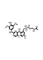 COc1ccc(Nc2nc(Nc3cc(OC)c(OC)c(OC)c3)ncc2Cl)c(CS(=O)(=O)NCCNC(C)=O)c1